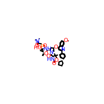 C=C[C@@H]1C[C@]1(NC(=O)[C@@H]1C[C@@H](Oc2cc(-c3ccccc3)nc3cc(OC)ccc23)CN1C(=O)C(NC(=O)OC1CCCC1)C(C)(C)C)P(=O)(O)CC(=O)N(C)C